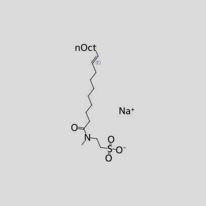 CCCCCCCC/C=C/CCCCCCCC(=O)N(C)CCS(=O)(=O)[O-].[Na+]